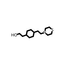 OCCC1CCC(CCN2CCSCC2)CC1